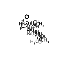 CN(C[C@@H](NC(=O)N[C@H](C(=O)N1C[C@H]2[C@@H]([C@H]1C(=O)N[C@@H](CC(F)F)C(=O)N[C@H]1C[C@@H]1c1ccccc1)C2(C)C)C(C)(C)C)C(C)(C)C)S(C)(=O)=O